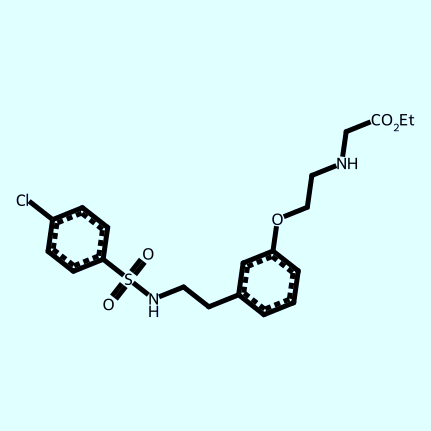 CCOC(=O)CNCCOc1cccc(CCNS(=O)(=O)c2ccc(Cl)cc2)c1